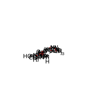 COc1cc(CN2CCC3(CC(N4CCN(c5ccc(C(=O)NS(=O)(=O)c6ccc(NCC7CCC(C)(O)CC7)c([N+](=O)[O-])c6)c(N6c7cc8cc[nH]c8nc7O[C@H]7COCC[C@@H]76)c5)CC4)C3)[C@H](c3ccccc3C(C)C)C2)cnc1N1CCOCC1